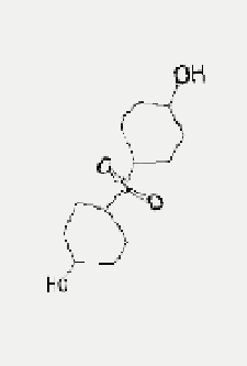 O=S(=O)(C1CCC(O)CC1)C1CCC(O)CC1